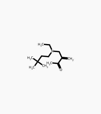 C=C(CN(CC)CCC(C)(C)C)C(C)=O